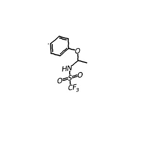 CC(NS(=O)(=O)C(F)(F)F)Oc1cc[c]cc1